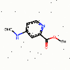 CC(C)(C)OC(=O)c1cc(N[C]=O)ccn1